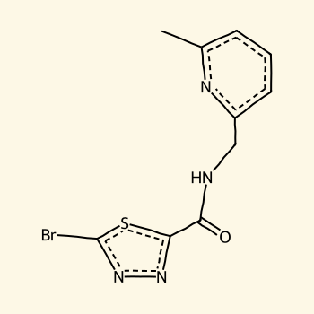 Cc1cccc(CNC(=O)c2nnc(Br)s2)n1